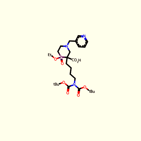 CCOP1(=O)CCN(Cc2cccnc2)CC1(CCCCN(C(=O)OC(C)(C)C)C(=O)OC(C)(C)C)C(=O)O